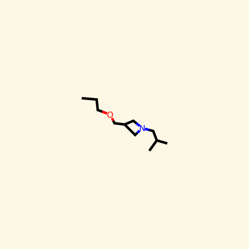 CCCOCC1CN(CC(C)C)C1